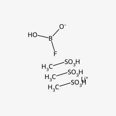 CS(=O)(=O)O.CS(=O)(=O)O.CS(=O)(=O)O.[Li+].[O-]B(O)F